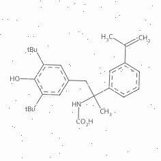 C=C(C)c1cccc(C(C)(Cc2cc(C(C)(C)C)c(O)c(C(C)(C)C)c2)NC(=O)O)c1